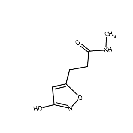 CNC(=O)CCc1cc(O)no1